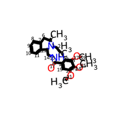 CCCN1C(C)Cc2ccccc2C1CNC(=O)c1cc(OC)c(OC)c(OC)c1